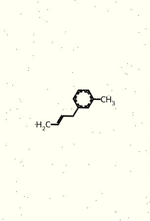 [CH2]C=CCc1cccc(C)c1